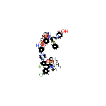 CCO[P@](=O)(Nc1ccc(N2CCN(c3cc(F)cc(-c4c(S(C)(=O)=O)c(C)n(C(C)C)c4-c4ccc(Cl)cc4)c3)CC2)cc1)c1ccc(N[C@H](CCN2CCC(O)CC2)CSc2ccccc2)c(S(=O)(=O)C(F)(F)F)c1